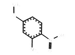 COc1ccc([N+](=O)O)c(N)c1